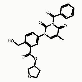 Cc1cn(-c2ccc(CO)c(C(=O)OC3CCOC3)c2)c(=O)n(C(=O)c2ccccc2)c1=O